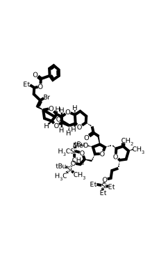 C=C1[C@H](C)C[C@H](CCCO[Si](CC)(CC)CC)O[C@@H]1C[C@@H]1O[C@H](C[C@@H](CO[Si](C)(C)C(C)(C)C)O[Si](C)(C)C(C)(C)C)[C@H](OC)[C@H]1CC(=O)C[C@H]1CC[C@@H]2O[C@@H]3[C@H]4O[C@@H]5C[C@@](C=C(Br)CC(CC)OC(=O)c6ccccc6)(O[C@H]4[C@H]2O1)O[C@H]35